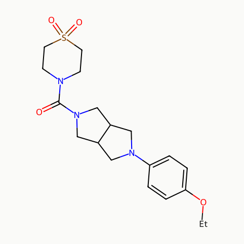 CCOc1ccc(N2CC3CN(C(=O)N4CCS(=O)(=O)CC4)CC3C2)cc1